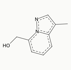 Cc1cnn2c(CO)cccc12